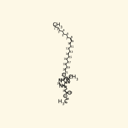 CCCCCCCC/C=C\CCCCCCCCCCCCOc1c2ncnc(SCC(=O)OCC)c2nn1C